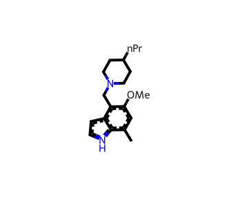 CCCC1CCN(Cc2c(OC)cc(C)c3[nH]ccc23)CC1